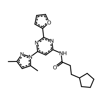 Cc1cc(C)n(-c2cc(NC(=O)CCC3CCCC3)nc(-c3ccco3)n2)n1